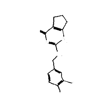 O=c1nc(SCc2ccc(F)c(F)c2)[nH]c2c1CCC2